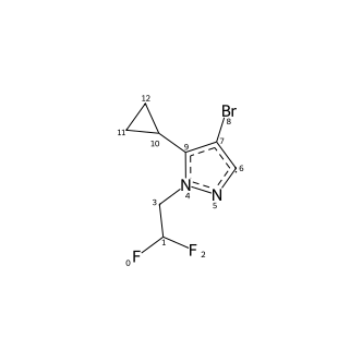 FC(F)Cn1n[c]c(Br)c1C1CC1